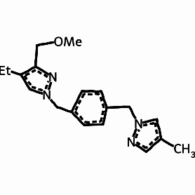 CCc1cn(Cc2ccc(Cn3cc(C)cn3)cc2)nc1COC